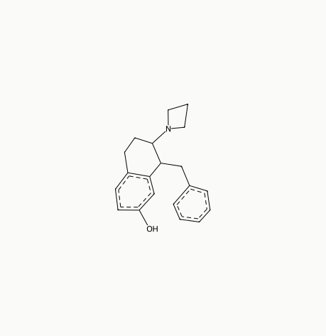 Oc1ccc2c(c1)C(Cc1ccccc1)C(N1CCC1)CC2